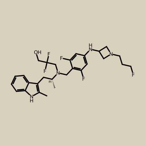 Cc1[nH]c2ccccc2c1C[C@@H](C)N(Cc1c(F)cc(NC2CN(CCCF)C2)cc1F)CC(F)(F)CO